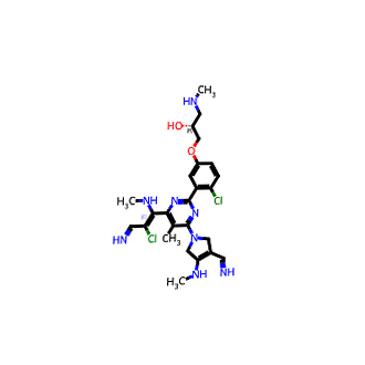 CNC[C@@H](O)COc1ccc(Cl)c(-c2nc(/C(NC)=C(\Cl)C=N)c(C)c(N3CC(C=N)=C(NC)C3)n2)c1